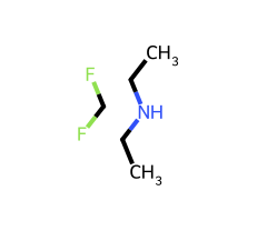 CCNCC.FCF